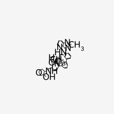 COc1nc(-c2cccc(-c3cccc(Nc4nc(C)nc5cccnc45)c3C)c2Cl)ccc1CN[C@@H]1CCOC[C@@H]1O